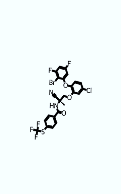 C[C@@](C#N)(COc1cc(Cl)ccc1Oc1cc(F)cc(F)c1Br)NC(=O)c1ccc(SC(F)(F)F)cc1